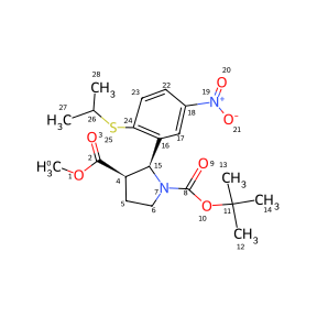 COC(=O)[C@@H]1CCN(C(=O)OC(C)(C)C)[C@@H]1c1cc([N+](=O)[O-])ccc1SC(C)C